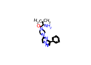 CC(C)[C@H](N)C(=O)N1CCN(c2ccn3ncc(-c4ccccc4)c3n2)CC1